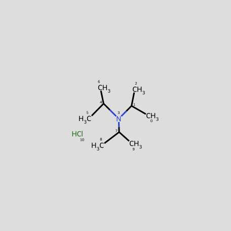 CC(C)N(C(C)C)C(C)C.Cl